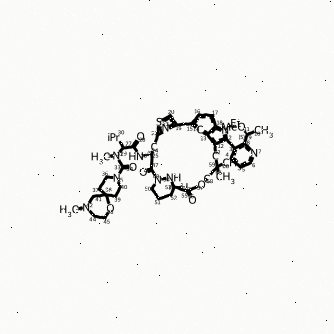 CCn1c(-c2cccnc2[C@H](C)OC)c2c3cc(ccc31)-c1csc(n1)C[C@H](NC(=O)C(C(C)C)N(C)C(=O)N1CCC3(CC1)CN(C)CCO3)C(=O)N1CCC[C@H](N1)C(=O)OCC(C)(C)C2